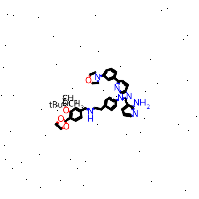 CC(C)(C)[Si](C)(C)Oc1cc(CNCCc2ccc(-n3c(-c4cccnc4N)nc4ccc(-c5cccc(N6CCOCC6)c5)nc43)cc2)ccc1C1OCCO1